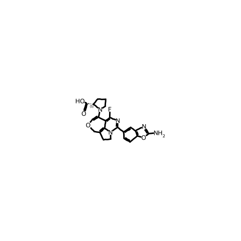 Nc1nc2cc(C3=NC(F)=C4C(N5CCC[C@H]5C(=O)O)=COCC5=C4N3CC5)ccc2o1